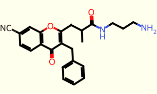 CC([CH]c1oc2cc(C#N)ccc2c(=O)c1Cc1ccccc1)C(=O)NCCCN